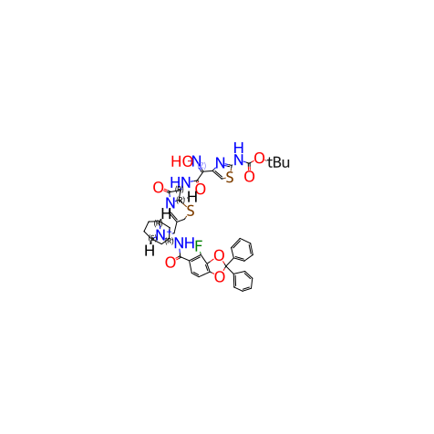 CC(C)(C)OC(=O)Nc1nc(/C(=N/O)C(=O)N[C@@H]2C(=O)N3C=C(C[N+]4(C)[C@@H]5CC[C@H]4C[C@@H](NC(=O)c4ccc6c(c4F)OC(c4ccccc4)(c4ccccc4)O6)C5)CS[C@H]23)cs1